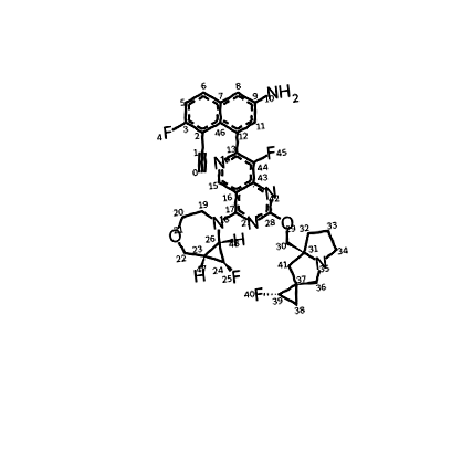 C#Cc1c(F)ccc2cc(N)cc(-c3ncc4c(N5CCOC[C@H]6[C@H](F)[C@H]65)nc(OC[C@@]56CCCN5C[C@]5(C[C@@H]5F)C6)nc4c3F)c12